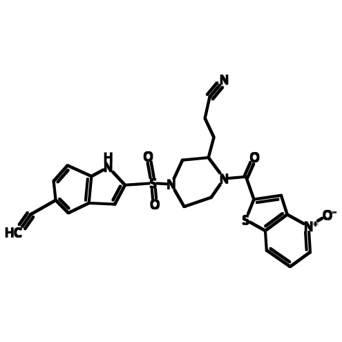 C#Cc1ccc2[nH]c(S(=O)(=O)N3CCN(C(=O)c4cc5c(ccc[n+]5[O-])s4)C(CCC#N)C3)cc2c1